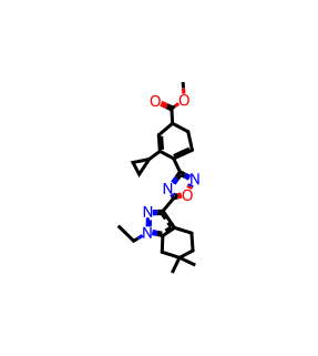 CCn1nc(-c2nc(C3=CCC(C(=O)OC)C=C3C3CC3)no2)c2c1CC(C)(C)CC2